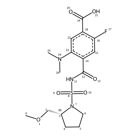 COC[C@H]1CCCN1S(=O)(=O)NC(=O)c1cc(F)c(C(=O)O)cc1N(C)C